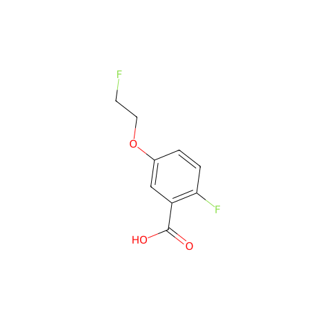 O=C(O)c1cc(OCCF)ccc1F